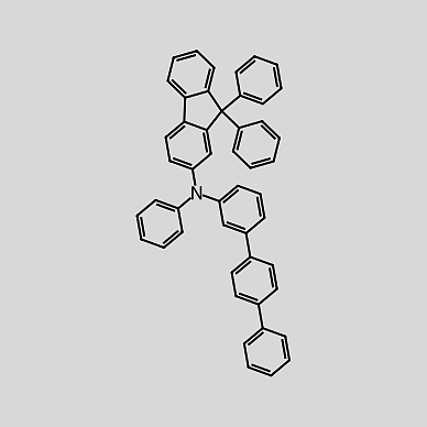 c1ccc(-c2ccc(-c3cccc(N(c4ccccc4)c4ccc5c(c4)C(c4ccccc4)(c4ccccc4)c4ccccc4-5)c3)cc2)cc1